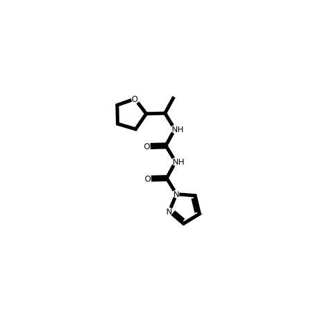 CC(NC(=O)NC(=O)n1c[c]cn1)C1CCCO1